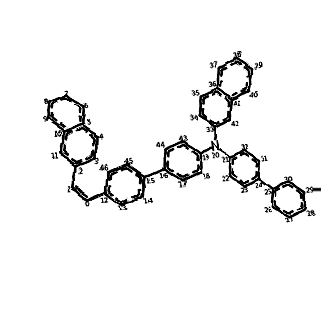 C(=C/c1ccc2ccccc2c1)/c1ccc(-c2ccc(N(c3ccc(-c4ccccc4)cc3)c3ccc4ccccc4c3)cc2)cc1